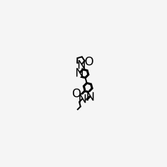 CCCn1cnc2ccc(-c3ccc(N4CCCC4=O)nc3)cc2c1=O